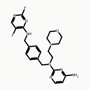 Nc1ccnc(N(CCN2CCOCC2)Cc2ccc(CNc3nc(F)ncc3F)cc2)n1